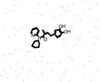 C/C(=C/Cc1ccc(O)c(O)c1)C(=O)N(c1ccccn1)C1CCCCC1